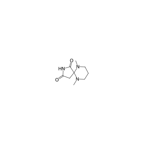 CN1CCCN(C)C12CC(=O)NC2=O